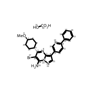 CO[C@H]1CC[C@H](c2nc3c(-c4ccc(-c5ccccc5)nc4)cnn3c(N)c2Br)CC1.O=C(O)O